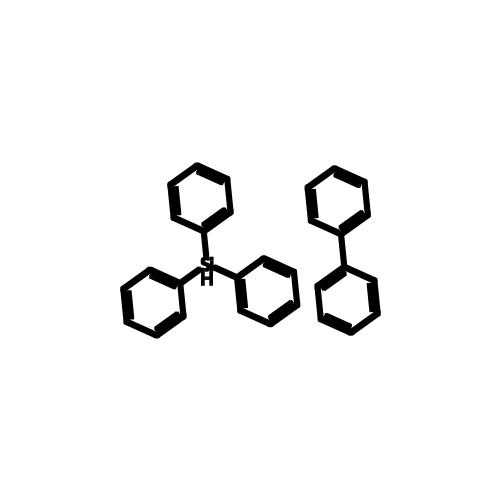 c1ccc(-c2ccccc2)cc1.c1ccc([SiH](c2ccccc2)c2ccccc2)cc1